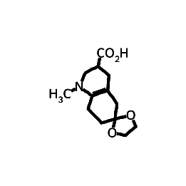 CN1CC(C(=O)O)CC2=C1CCC1(C2)OCCO1